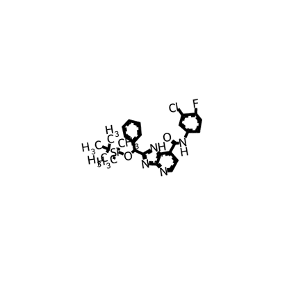 CC(C)(C)[Si](C)(C)OC(c1ccccc1)c1nc2nccc(C(=O)Nc3ccc(F)c(Cl)c3)c2[nH]1